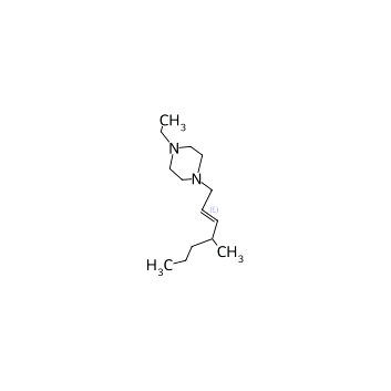 CCCC(C)/C=C/CN1CCN(CC)CC1